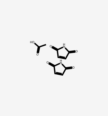 CC(=O)O.O=C1C=CC(=O)N1.O=C1C=CC(=O)N1